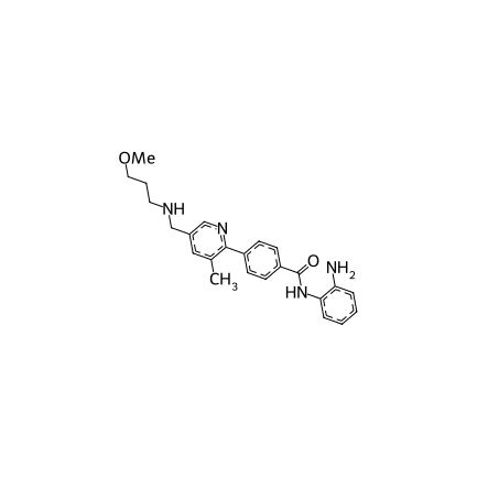 COCCCNCc1cnc(-c2ccc(C(=O)Nc3ccccc3N)cc2)c(C)c1